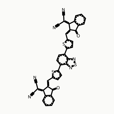 N#CC(C#N)=C1/C(=C/c2ccc(-c3ccc(-c4ccc(/C=C5\C(=O)c6ccccc6C5=C(C#N)C#N)s4)c4nsnc34)s2)C(=O)c2ccccc21